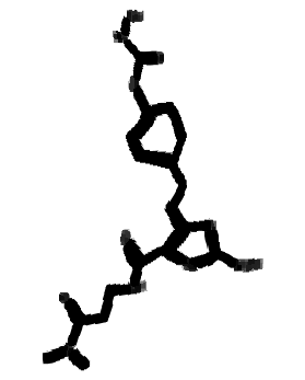 CC(=O)Nc1nc(CCc2ccc(OC(=O)NC(C)(C)C)cc2)c(C(=O)NCCC(=O)N(C)C)s1